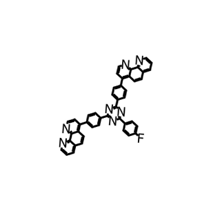 Fc1ccc(-c2nc(-c3ccc(-c4ccnc5c4ccc4cccnc45)cc3)nc(-c3ccc(-c4ccnc5c4ccc4cccnc45)cc3)n2)cc1